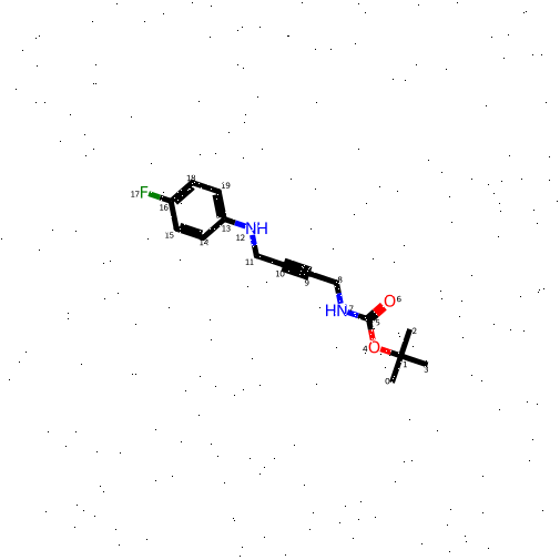 CC(C)(C)OC(=O)NCC#CCNc1ccc(F)cc1